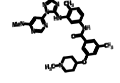 CNc1cc(-n2ncnc2Nc2cc(NC(=O)c3cc(OC4CCN(C)CC4)cc(C(F)(F)F)c3)ccc2C)ncn1